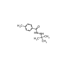 Cc1ccc(C(=O)NNC(C)(C)C)cc1